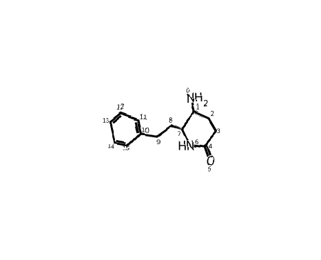 NC1CCC(=O)N[C@H]1CCc1ccccc1